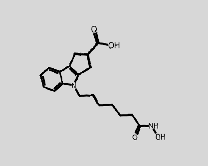 O=C(CCCCCCn1c2c(c3ccccc31)CC(C(=O)O)C2)NO